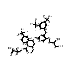 CC[C@@H]1C[C@H](Nc2ncc(OCC(O)CO)c(Cc3cc(C(F)(F)F)cc(C(F)(F)F)c3)n2)c2cc(C(F)(F)F)ccc2N1C(=O)OCC(C)(C)C(=O)O